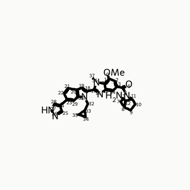 COc1cc(C(=O)N2CC3CCC2C3N)cc2nc(-c3cc4ccc(-c5cn[nH]c5)cc4n3CC3CC3)n(C)c12